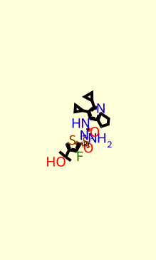 CC(C)(O)c1csc([S@](N)(=O)=NC(=O)Nc2c3c(nc(C4CC4)c2C2CC2)CCC3)c1F